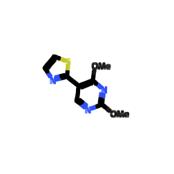 COc1ncc(-c2nccs2)c(OC)n1